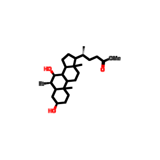 CC[C@@H]1C2C[C@H](O)CCC2(C)C2CCC3(C)C(CCC3[C@H](C)CCC(=O)OC)C2[C@@H]1O